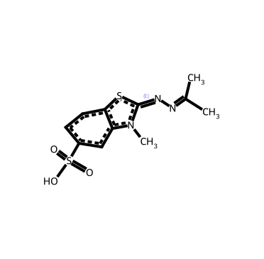 CC(C)=N/N=c1/sc2ccc(S(=O)(=O)O)cc2n1C